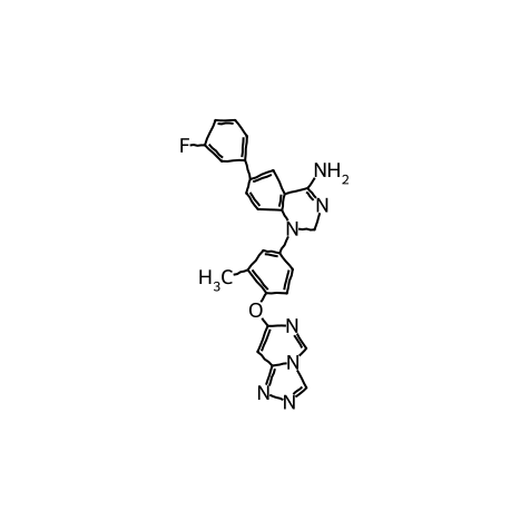 Cc1cc(N2CN=C(N)c3cc(-c4cccc(F)c4)ccc32)ccc1Oc1cc2nncn2cn1